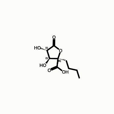 CCCC[C@@]1(C(=O)O)OC(=O)[C@@H](O)[C@@H]1O